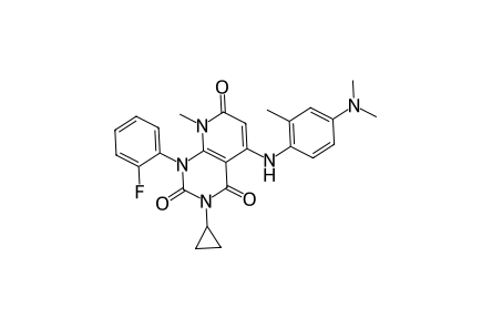 Cc1cc(N(C)C)ccc1Nc1cc(=O)n(C)c2c1c(=O)n(C1CC1)c(=O)n2-c1ccccc1F